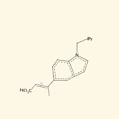 C/C(=C\C(=O)O)c1ccc2c(ccn2CC(C)C)c1